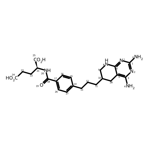 Nc1nc(N)c2c(n1)NCC(CCCc1ccc(C(=O)N[C@@H](CCC(=O)O)C(=O)O)cc1)C2